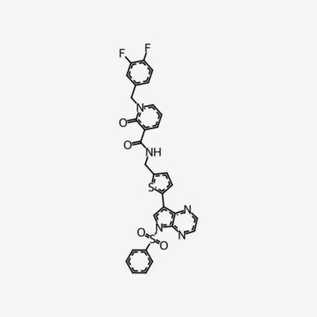 O=C(NCc1ccc(-c2cn(S(=O)(=O)c3ccccc3)c3nccnc23)s1)c1cccn(Cc2ccc(F)c(F)c2)c1=O